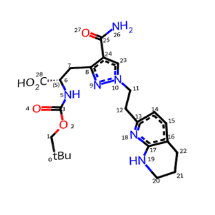 CC(C)(C)COC(=O)N[C@@H](Cc1nn(CCc2ccc3c(n2)NCCC3)cc1C(N)=O)C(=O)O